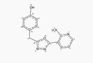 Nc1ncccc1-c1nnc(Cc2ccc(O)cc2)o1